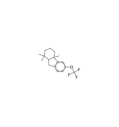 CC1(C)CCCC2(C)c3cc(OC(F)(F)F)ccc3CC12